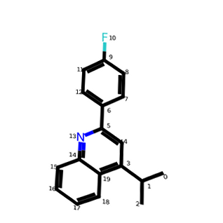 CC(C)c1[c]c(-c2ccc(F)cc2)nc2ccccc12